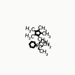 C[CH2][Rh]([CH2]C)([CH2]C)[c]1ccccc1.C[C]1C(C)=C(C)C(C)=C1C